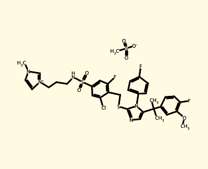 COc1cc(C(C)(C)c2cnc(SCc3c(F)cc(S(=O)(=O)NCCC[n+]4ccn(C)c4)cc3Cl)n2-c2ccc(F)cc2)ccc1F.CS(=O)(=O)[O-]